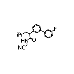 CC(C)CC(C(=O)NCC#N)c1cccc(-c2cccc(F)c2)c1